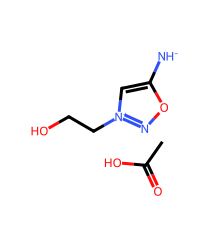 CC(=O)O.[NH-]c1c[n+](CCO)no1